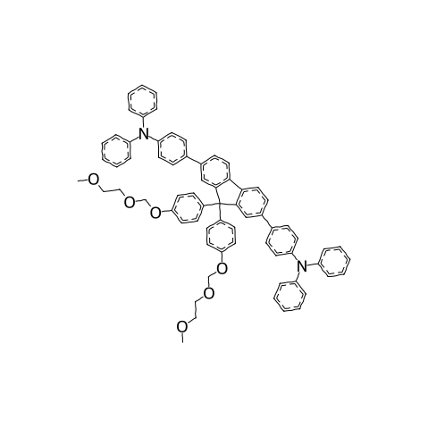 COCCOCOc1ccc(C2(c3ccc(OCOCCOC)cc3)c3cc(-c4ccc(N(c5ccccc5)c5ccccc5)cc4)ccc3-c3ccc(-c4ccc(N(c5ccccc5)c5ccccc5)cc4)cc32)cc1